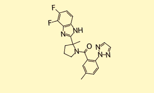 Cc1ccc(-n2nccn2)c(C(=O)N2CCCC2(C)c2nc3c(F)c(F)ccc3[nH]2)c1